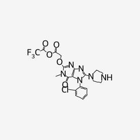 Cn1c(OCC(=O)OC(=O)C(F)(F)F)nc2nc(N3CCNCC3)n(-c3ccccc3Cl)c2c1=O